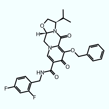 CC(C)[C@@H]1CO[C@H]2Cn3cc(C(=O)NCc4ccc(F)cc4F)c(=O)c(OCc4ccccc4)c3C(=O)N21